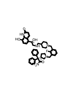 NC(=O)C(c1ccccc1)(c1ccccc1)[C@@H]1CCN(Cc2cccc(CN3CCC(CNC[C@H](O)c4ccc(O)c5[nH]c(=O)ccc45)CC3)c2F)C1